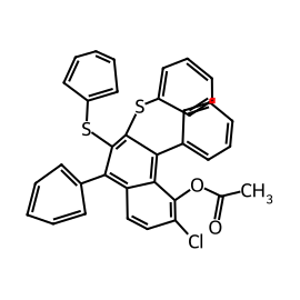 CC(=O)Oc1c(Cl)ccc2c(-c3ccccc3)c(Sc3ccccc3)c(Sc3ccccc3)c(-c3ccccc3)c12